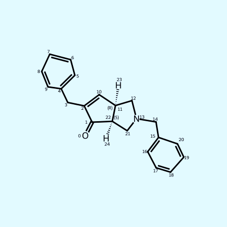 O=C1C(Cc2ccccc2)=C[C@H]2CN(Cc3ccccc3)C[C@@H]12